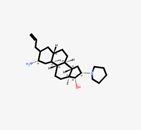 C=CCC1C[C@@H]2CC[C@@H]3[C@H](CC[C@]4(C)[C@@H](O)[C@@H](N5CCCCC5)C[C@@H]34)[C@@]2(C)C[C@@H]1N